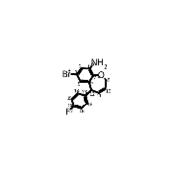 Nc1cc(Br)cc2c1OCC=CC2c1ccc(F)cc1